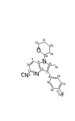 [C-]#[N+]c1ccc2c(n1)c(-c1ccc(F)cc1)c(C)n2C1CCCCO1